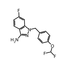 Nc1nn(Cc2ccc(OC(F)F)cc2)c2cc(F)ccc12